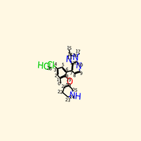 Cc1cc(Cl)cc(-c2ccnc3c2nc(C)n3C)c1O[C@H]1CCCNC1.Cl